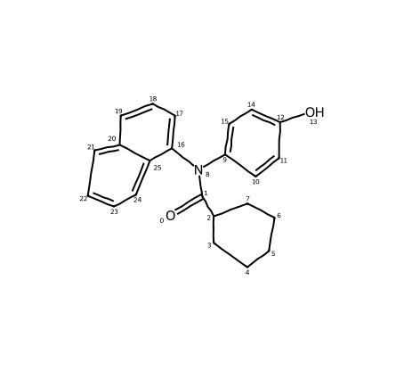 O=C(C1CCCCC1)N(c1ccc(O)cc1)c1cccc2ccccc12